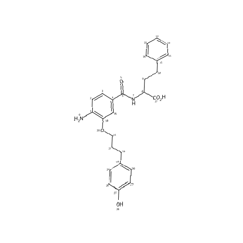 Nc1ccc(C(=O)NC(CCc2ccccc2)C(=O)O)cc1OCCCc1ccc(O)cc1